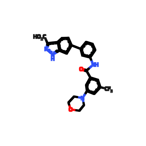 O=C(Nc1cccc(-c2ccc3c(C(=O)O)n[nH]c3c2)c1)c1cc(N2CCOCC2)cc(C(F)(F)F)c1